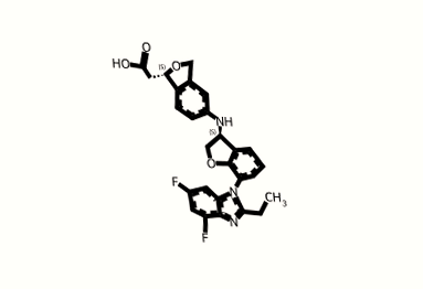 CCc1nc2c(F)cc(F)cc2n1-c1cccc2c1OC[C@H]2Nc1ccc2c(c1)CO[C@H]2CC(=O)O